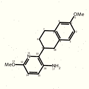 COc1ccc2c(c1)CCC(c1nc(OC)ccc1N)C2